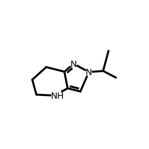 CC(C)n1cc2c(n1)CCCN2